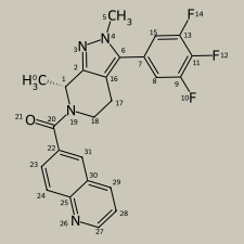 C[C@@H]1c2nn(C)c(-c3cc(F)c(F)c(F)c3)c2CCN1C(=O)c1ccc2ncccc2c1